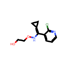 OCCONC(=C1CC1)c1cccnc1Cl